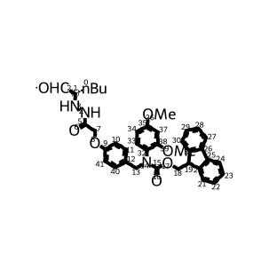 CCCC[C@@H]([C]=O)NNC(=O)COc1ccc(CN(C(=O)OCC2c3ccccc3-c3ccccc32)c2ccc(OC)cc2OC)cc1